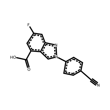 N#Cc1ccc(-n2cc3c(C(=O)O)cc(F)cc3n2)cc1